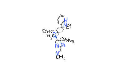 C=NCc1ncc(N(C)C[C@]2(NC=O)CC[C@](NCC)(c3ccccc3)CC2)c(OC)n1